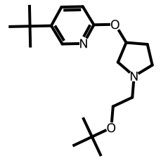 CC(C)(C)OCCN1CCC(Oc2ccc(C(C)(C)C)cn2)C1